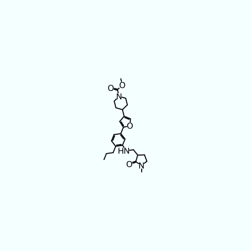 CCCc1ccc(-c2cc(C3CCN(C(=O)OC)CC3)co2)cc1NCC1CCN(C)C1=O